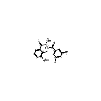 COc1cccc(C(=O)N(NC(=O)c2cc(C)cc(Br)c2)C(C)(C)C)c1C